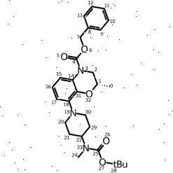 C[C@H]1CN(C(=O)OCc2ccccc2)c2cccc(N3CCC(N(C)C(=O)OC(C)(C)C)CC3)c2O1